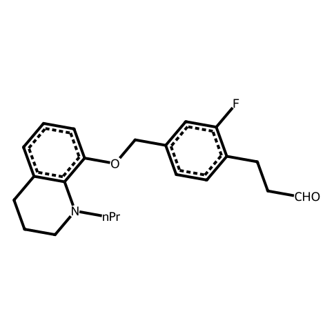 CCCN1CCCc2cccc(OCc3ccc(CCC=O)c(F)c3)c21